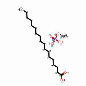 CCCCCCCCCCCCCCCCCC(=O)O.O=P(O)(O)O.[MgH2]